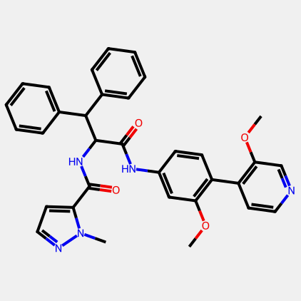 COc1cnccc1-c1ccc(NC(=O)C(NC(=O)c2ccnn2C)C(c2ccccc2)c2ccccc2)cc1OC